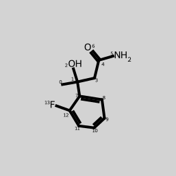 CC(O)(CC(N)=O)c1ccccc1F